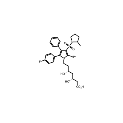 CC(C)c1c(S(=O)(=O)N2CCCC2C)c(-c2ccccc2)c(-c2ccc(F)cc2)n1CC[C@@H](O)C[C@@H](O)CC(=O)O